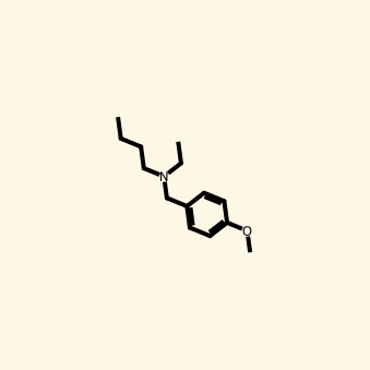 CCCCN(CC)Cc1ccc(OC)cc1